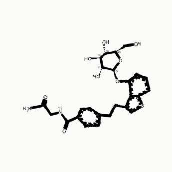 NC(=O)CNC(=O)c1ccc(CCc2csc3cccc(O[C@@H]4O[C@H](CO)[C@@H](O)[C@H](O)[C@H]4O)c23)cc1